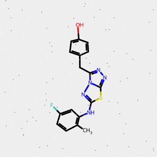 Cc1ccc(F)cc1Nc1nn2c(Cc3ccc(O)cc3)nnc2s1